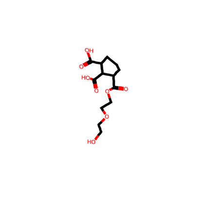 O=C(O)C1CCCC(C(=O)OCCOCCO)C1C(=O)O